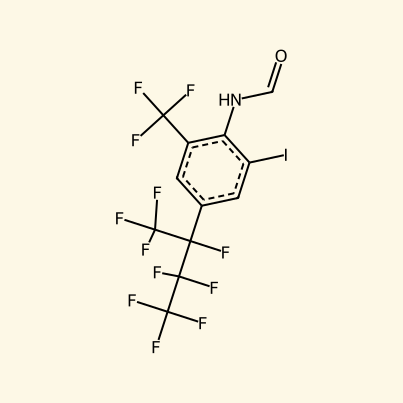 O=CNc1c(I)cc(C(F)(C(F)(F)F)C(F)(F)C(F)(F)F)cc1C(F)(F)F